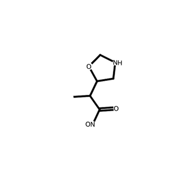 CC(C(=O)N=O)C1CNCO1